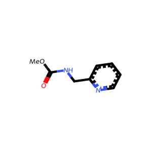 COC(=O)NCc1ccccn1